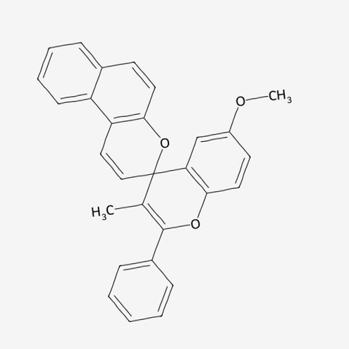 COc1ccc2c(c1)C1(C=Cc3c(ccc4ccccc34)O1)C(C)=C(c1ccccc1)O2